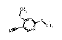 CCc1nc(SC)ncc1C#N